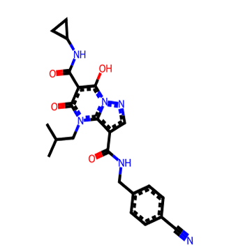 CC(C)Cn1c(=O)c(C(=O)NC2CC2)c(O)n2ncc(C(=O)NCc3ccc(C#N)cc3)c12